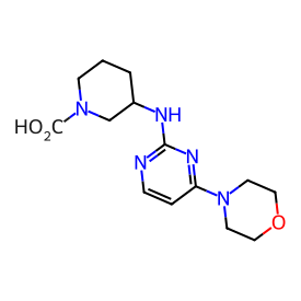 O=C(O)N1CCCC(Nc2nccc(N3CCOCC3)n2)C1